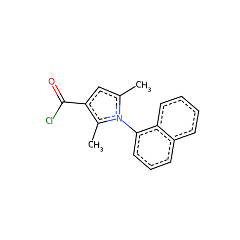 Cc1cc(C(=O)Cl)c(C)n1-c1cccc2ccccc12